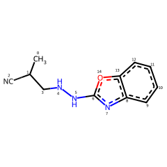 CC(C#N)CNNc1nc2ccccc2o1